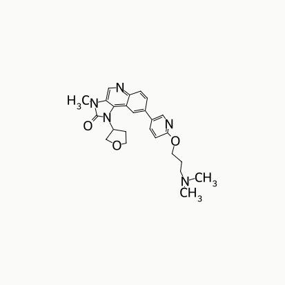 CN(C)CCCOc1ccc(-c2ccc3ncc4c(c3c2)n(C2CCOC2)c(=O)n4C)cn1